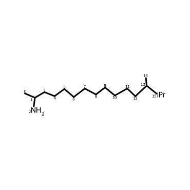 CC(N)CCCCCCCCCCC(C)C(C)C